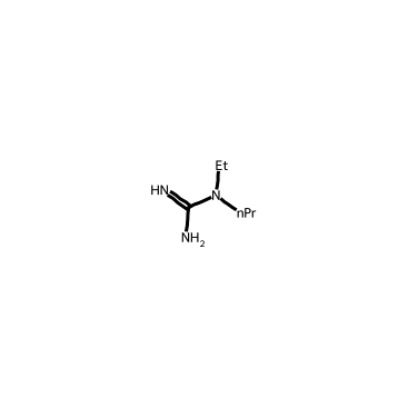 CCCN(CC)C(=N)N